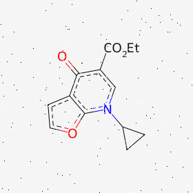 CCOC(=O)c1cn(C2CC2)c2occc2c1=O